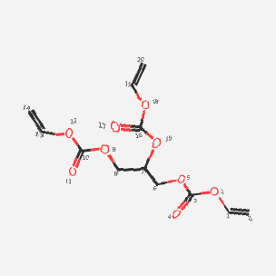 C=COC(=O)OCC(COC(=O)OC=C)OC(=O)OC=C